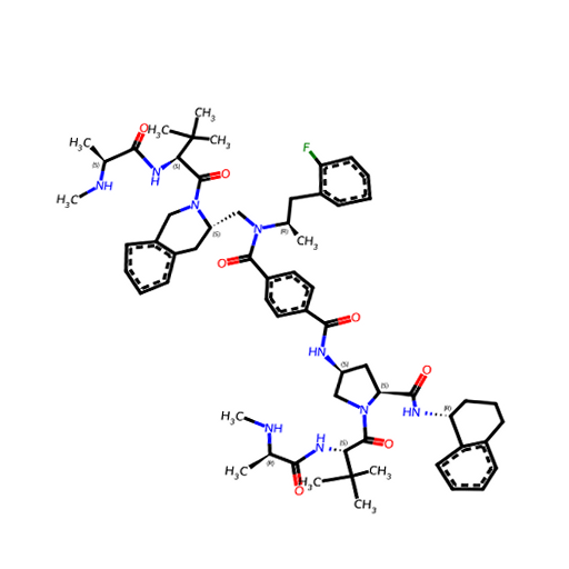 CN[C@@H](C)C(=O)N[C@H](C(=O)N1Cc2ccccc2C[C@H]1CN(C(=O)c1ccc(C(=O)N[C@H]2C[C@@H](C(=O)N[C@@H]3CCCc4ccccc43)N(C(=O)[C@@H](NC(=O)[C@@H](C)NC)C(C)(C)C)C2)cc1)[C@H](C)Cc1ccccc1F)C(C)(C)C